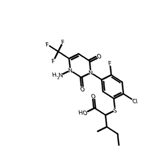 CCC(C)C(Sc1cc(-n2c(=O)cc(C(F)(F)F)n(N)c2=O)c(F)cc1Cl)C(=O)O